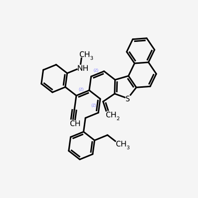 C#C/C(C1=C(NC)CCC=C1)=C(\C=C/Cc1ccccc1CC)/C=C\c1c(C=C)sc2ccc3ccccc3c12